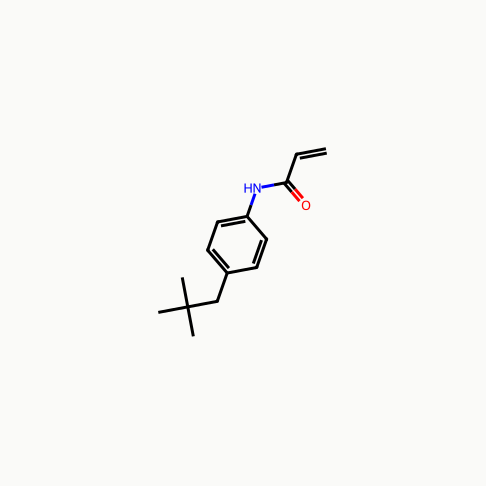 C=CC(=O)Nc1ccc(CC(C)(C)C)cc1